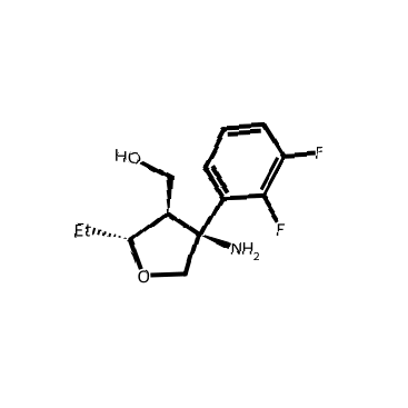 CC[C@H]1OC[C@@](N)(c2cccc(F)c2F)[C@@H]1CO